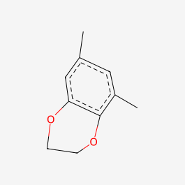 Cc1cc(C)c2c(c1)OCCO2